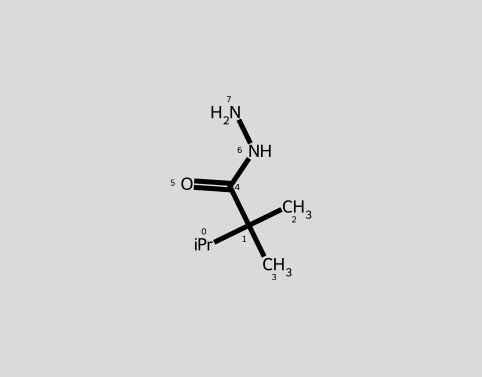 CC(C)C(C)(C)C(=O)NN